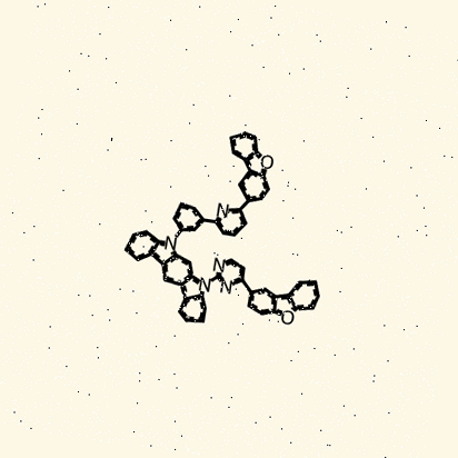 c1cc(-c2cccc(-c3ccc4oc5ccccc5c4c3)n2)cc(-n2c3ccccc3c3cc4c5ccccc5n(-c5nccc(-c6ccc7oc8ccccc8c7c6)n5)c4cc32)c1